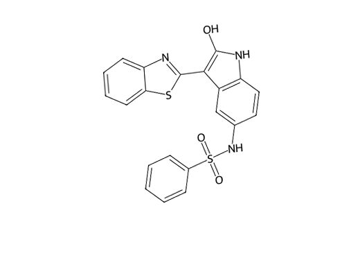 O=S(=O)(Nc1ccc2[nH]c(O)c(-c3nc4ccccc4s3)c2c1)c1ccccc1